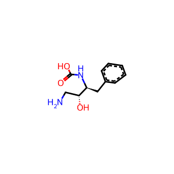 NC[C@@H](O)[C@H](Cc1ccccc1)NC(=O)O